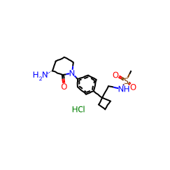 CS(=O)(=O)NCC1(c2ccc(N3CCC[C@@H](N)C3=O)cc2)CCC1.Cl